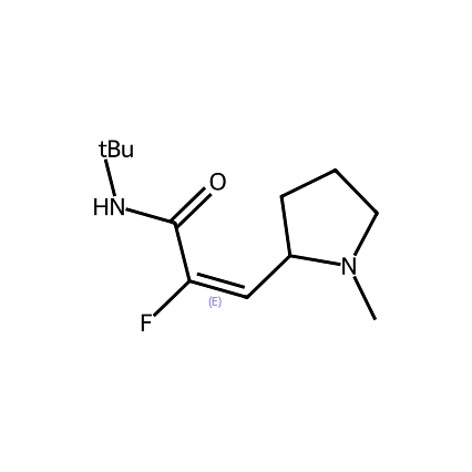 CN1CCCC1/C=C(/F)C(=O)NC(C)(C)C